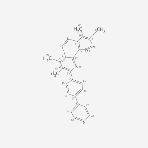 Cc1cnc2c(ccc3c(C)c(C)c(-c4ccc(-c5ccccc5)cc4)nc32)c1C